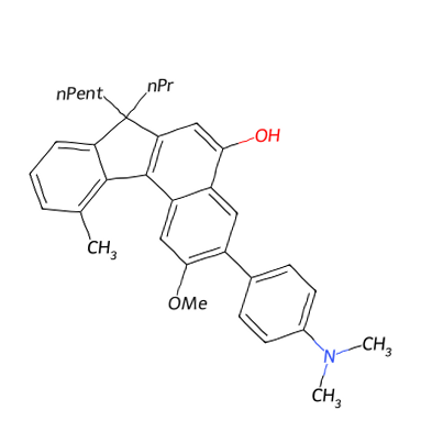 CCCCCC1(CCC)c2cccc(C)c2-c2c1cc(O)c1cc(-c3ccc(N(C)C)cc3)c(OC)cc21